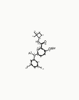 COc1ccc(N(C(C)=O)c2cc(F)cc(F)c2)nc1C(=O)NC1CCC1(C)C